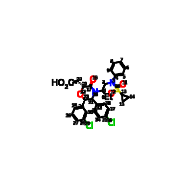 CCC(CN(c1ccccc1)S(=O)(=O)C1CC1)N1C(=O)[C@@H](CC(=O)O)O[C@H](c2cccc(Cl)c2)[C@@H]1c1ccc(Cl)cc1